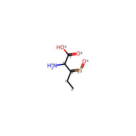 CCC(=S=O)C(N)C(=O)O